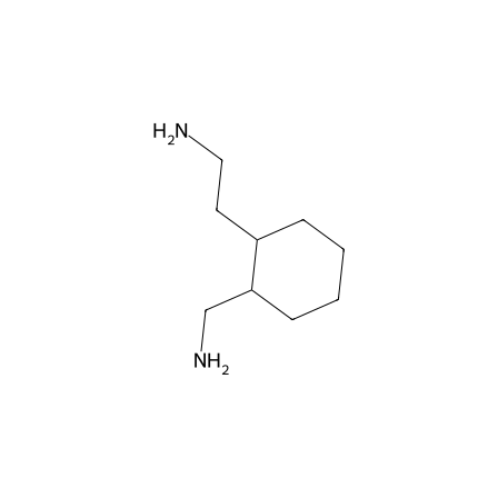 NCCC1CCCCC1CN